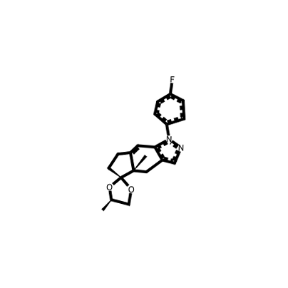 C[C@@H]1CO[C@]2(CCC3=Cc4c(cnn4-c4ccc(F)cc4)C[C@@]32C)O1